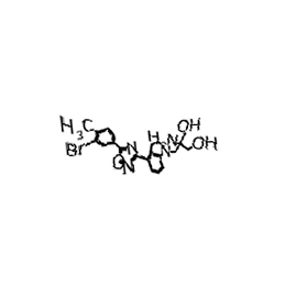 Cc1ccc(-c2nc(-c3cccc4c3CCN4CC(N)(CO)CO)no2)cc1Br